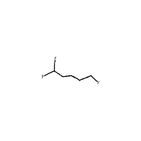 FC[CH]CCC(F)F